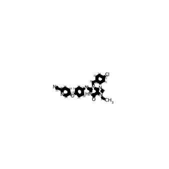 CCn1cnc2c1c(=O)[nH]/c(=N\c1ccc(Oc3ccc(C#N)nc3)cc1)n2Cc1ccc(Cl)cc1